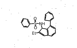 CCC1=Cc2cccc(-c3ccccc3)c2C1NS(=O)(=O)c1ccccc1